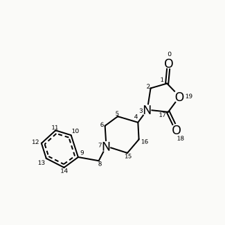 O=C1CN(C2CCN(Cc3ccccc3)CC2)C(=O)O1